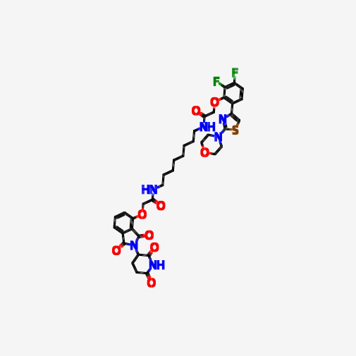 O=C(COc1cccc2c1C(=O)N(C1CCC(=O)NC1=O)C2=O)NCCCCCCCCNC(=O)COc1c(-c2csc(N3CCOCC3)n2)ccc(F)c1F